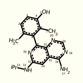 Cc1ccc(O)c(C)c1-c1nc(NC(C)C)cc2c(N)ncnc12